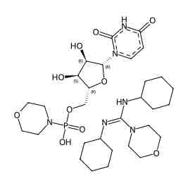 C1CCC(N=C(NC2CCCCC2)N2CCOCC2)CC1.O=c1ccn([C@@H]2O[C@H](COP(=O)(O)N3CCOCC3)[C@@H](O)[C@H]2O)c(=O)[nH]1